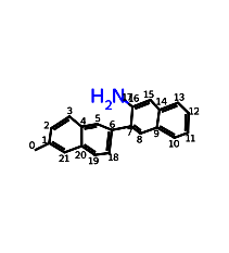 Cc1ccc2cc(-c3cc4ccccc4cc3N)ccc2c1